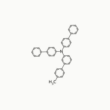 Cc1ccc(-c2cccc(N(c3ccc(-c4ccccc4)cc3)c3ccc(-c4ccccc4)cc3)c2)cc1